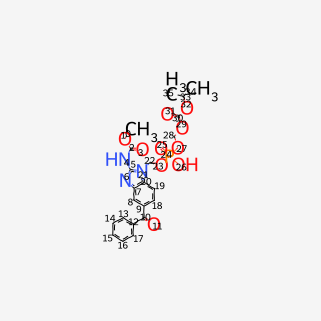 COC(=O)Nc1nc2cc(C(=O)c3ccccc3)ccc2n1COP(=O)(O)OCOC(=O)OC(C)C